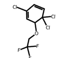 FC(F)(F)COC1C=C(Cl)C=CC1(Cl)Cl